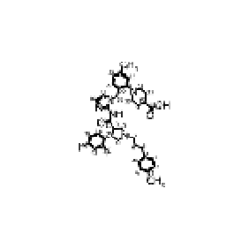 Cc1ccc(CCCN2CC(C(=O)Nc3nccn3Cc3ccc(C)cc3N3CCC(C(=O)O)CC3)[C@H](c3ccc(F)cc3F)C2)cc1